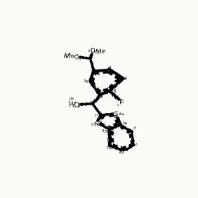 COC(OC)c1ccc(F)c(C(O)c2nc3ccccc3s2)c1